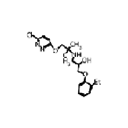 CCc1ccccc1OCC(O)CNC(C)(C)COc1ccc(Cl)nn1